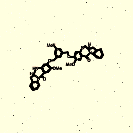 CNc1cc(COc2cc3c(cc2OC)C(=O)N2c4ccccc4C[C@H]2C=N3)cc(COc2cc3c(cc2OC)C(=O)N2c4ccc#cc4C[C@H]2CN3)c1